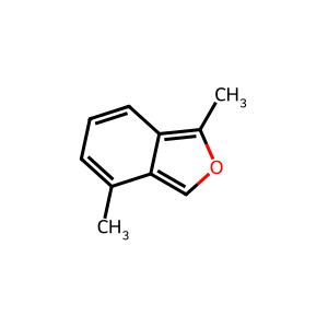 Cc1cccc2c(C)occ12